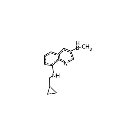 CBc1cnc2c(NCC3CC3)cccc2c1